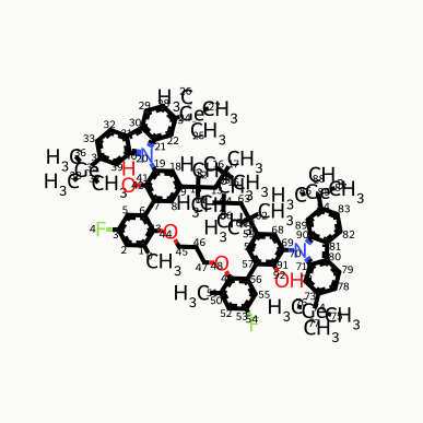 Cc1cc(F)cc(-c2cc(C(C)(C)CC(C)(C)C)cc(-n3c4c[c]([Ge]([CH3])([CH3])[CH3])ccc4c4cc[c]([Ge]([CH3])([CH3])[CH3])cc43)c2O)c1OCCCOc1c(C)cc(F)cc1-c1cc(C(C)(C)CC(C)(C)C)cc(-n2c3c[c]([Ge]([CH3])([CH3])[CH3])ccc3c3cc[c]([Ge]([CH3])([CH3])[CH3])cc32)c1O